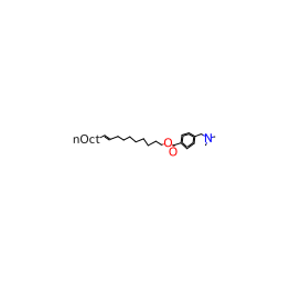 CCCCCCCC/C=C/CCCCCCCCOC(=O)c1ccc(CN(C)C)cc1